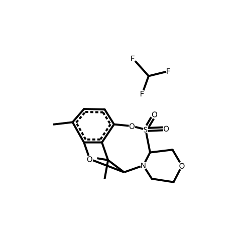 Cc1ccc2c3c1OC(N1CCOCC1S(=O)(=O)O2)C3(C)C.FC(F)F